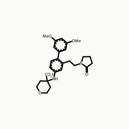 COc1cc(OC)cc(-c2ccc(NC3(C(=O)O)CCOCC3)cc2CCN2CCCC2=O)c1